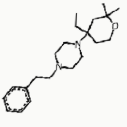 CCC1(N2CCN(CCc3ccccc3)CC2)CCOC(C)(C)C1